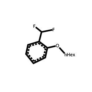 CCCCCCOc1ccccc1C(F)F